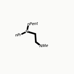 CCCCCN(CCC)CCNC